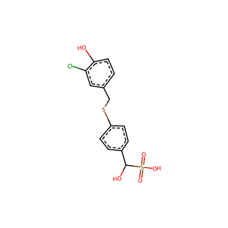 O=S(=O)(O)C(O)c1ccc(SCc2ccc(O)c(Cl)c2)cc1